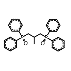 CC(CP(=O)(c1ccccc1)c1ccccc1)CP(=O)(c1ccccc1)c1ccccc1